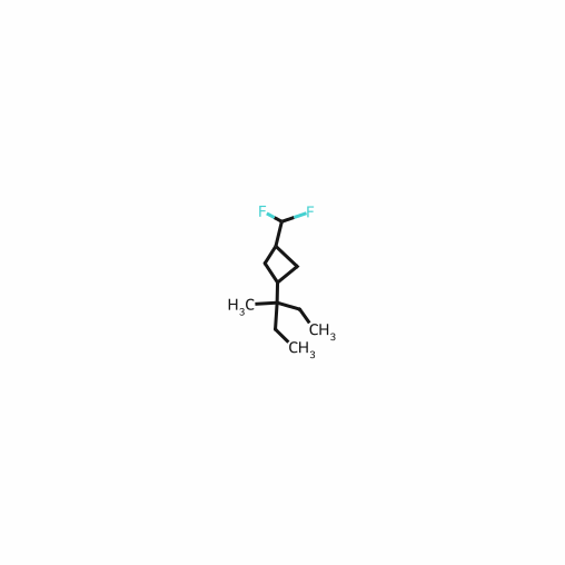 CCC(C)(CC)C1CC(C(F)F)C1